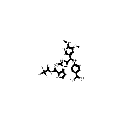 COc1cc(C(Nc2ccc(C(=N)N)cc2)c2nn(-c3ccsc3C(=O)OC(=O)C(F)(F)F)c(=O)[nH]2)cnc1OC